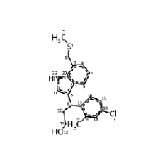 CSCc1cccc2c(C(CCO)c3ccc(Cl)cc3C)c[nH]c12